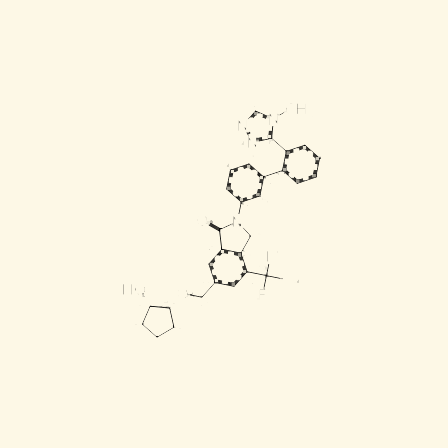 Cn1cnnc1-c1ccccc1-c1cccc(N2Cc3c(cc(CO[C@@H]4CCC[C@@H]4O)cc3C(F)(F)F)C2=O)c1